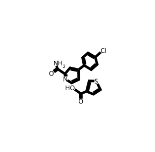 NC(=O)c1cc(-c2ccc(Cl)cc2)ccn1.O=C(O)c1ccsc1